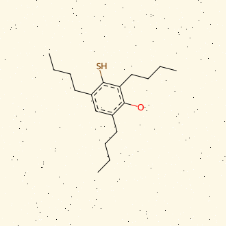 CCCCc1cc(CCCC)c(S)c(CCCC)c1[O]